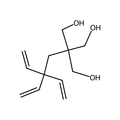 C=CC(C=C)(C=C)CC(CO)(CO)CO